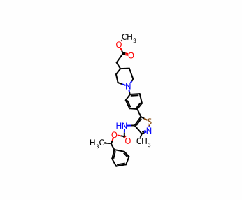 COC(=O)CC1CCN(c2ccc(-c3snc(C)c3NC(=O)O[C@H](C)c3ccccc3)cc2)CC1